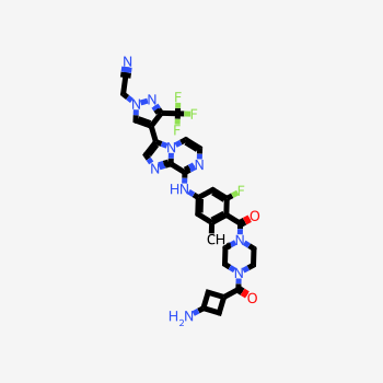 Cc1cc(Nc2nccn3c(-c4cn(CC#N)nc4C(F)(F)F)cnc23)cc(F)c1C(=O)N1CCN(C(=O)C2CC(N)C2)CC1